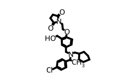 CC(c1ccc(Cl)cc1)N(Cc1ccc(OCCN2C(=O)CCC2=O)c(CO)c1)CC1CCCCC1